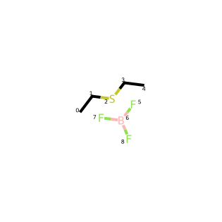 CCSCC.FB(F)F